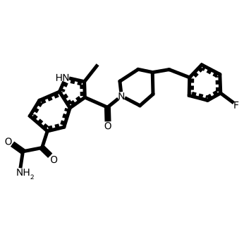 Cc1[nH]c2ccc(C(=O)C(N)=O)cc2c1C(=O)N1CCC(Cc2ccc(F)cc2)CC1